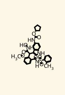 COc1cccc(C(=O)NS(=O)(=O)c2ccccc2C)c1C(C(=O)NO)c1c[nH]c2ccc(NC(=O)OC3CCCC3)cc12